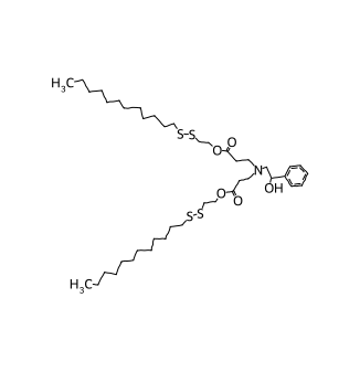 CCCCCCCCCCCCSSCCOC(=O)CCN(CCC(=O)OCCSSCCCCCCCCCCCC)CC(O)c1ccccc1